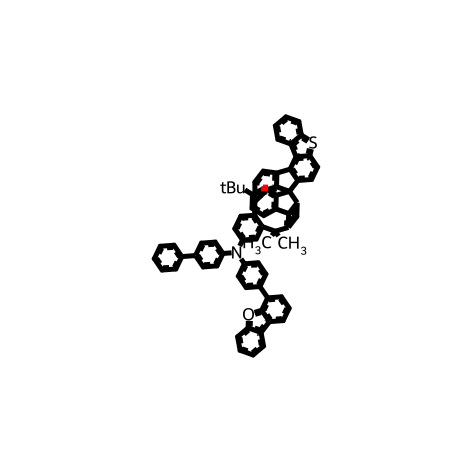 CC(C)(C)c1ccc2c(c1)C13c4cc(ccc4-2)C(C)(C)c2cc(N(c4ccc(-c5ccccc5)cc4)c4ccc(-c5cccc6c5oc5ccccc56)cc4)ccc2-c2ccc(c1c2)-c1c3ccc2sc3ccccc3c12